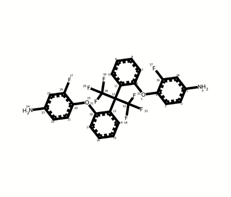 Nc1ccc(Oc2ccccc2C(c2ccccc2Oc2ccc(N)cc2F)(C(F)(F)F)C(F)(F)F)c(F)c1